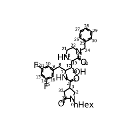 CCCCCCN1CC(C(=O)NC(Cc2cc(F)cc(F)c2)[C@H](O)[C@@H]2NCCN(Cc3ccccc3)C2=O)CC1=O